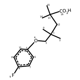 CC(C)(COc1ccc(F)cc1)CC(C)(C)C(=O)O